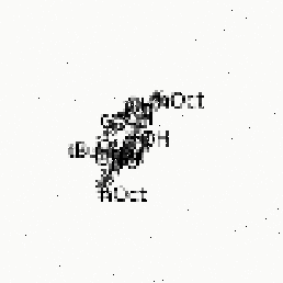 CC(C)(C)c1cc(CCC(=O)OCC(O)CO)cc(C(C)(C)C)c1O.CCCCCCCC/C=C\CCCCCCCCOCCCCCCCC/C=C\CCCCCCCC.OCCCCO